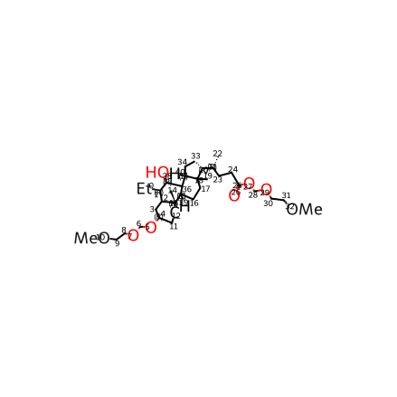 CC[C@@H]1C2C[C@H](OCOCCOC)CC[C@@]2(C)[C@H]2CCC3(C)[C@@H]([C@H](C)CCC(=O)OCOCCOC)CC[C@H]3C2[C@@H]1O